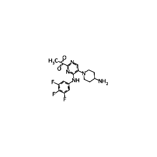 CS(=O)(=O)c1ncc(N2CCC(N)CC2)c(Nc2cc(F)c(F)c(F)c2)n1